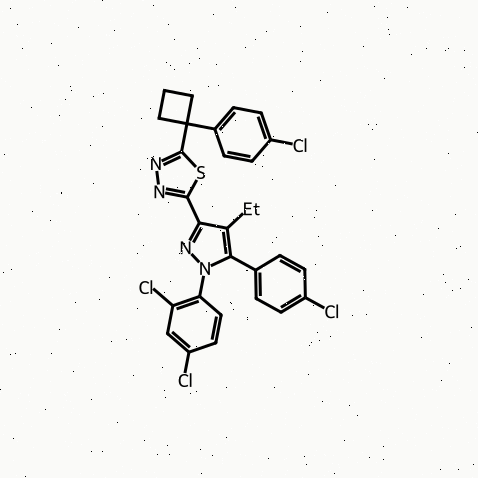 CCc1c(-c2nnc(C3(c4ccc(Cl)cc4)CCC3)s2)nn(-c2ccc(Cl)cc2Cl)c1-c1ccc(Cl)cc1